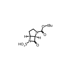 CC(C)(C)OC(=O)N1CC[C@@H]2[C@H]1C(=O)N2S(=O)(=O)O